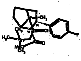 C=C([CH2][Sn]([CH3])([CH3])[CH3])[N+]1(C)C2CCC1[C@@H](C(=O)OC)[C@@H](c1ccc(F)cc1)C2